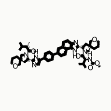 COC(=O)N[C@H](C(=O)N1C[C@]2(CCCOC2)C[C@H]1c1nc2ccc3cc(-c4ccc(-c5cnc([C@@H]6C[C@@]7(CCCOC7)CN6C(=O)[C@@H](C)C(C)C)[nH]5)cc4)ccc3c2[nH]1)C(C)C